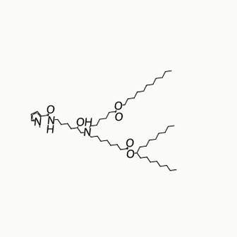 CCCCCCCCCCCOC(=O)CCCCCN(CCCCCCCC(=O)OC(CCCCCCCC)CCCCCCCC)CC(O)CCCCNC(=O)c1cccn1C